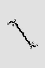 O=S(=O)(/C=C/CCCCCC/C=C/S(=O)(=O)CBr)CBr